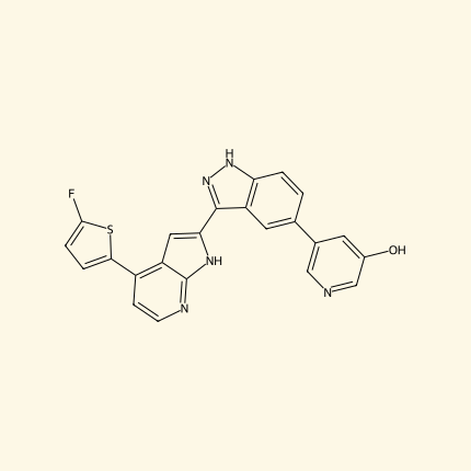 Oc1cncc(-c2ccc3[nH]nc(-c4cc5c(-c6ccc(F)s6)ccnc5[nH]4)c3c2)c1